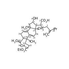 C=C(CCC(C(=O)O)C1C(O)CC2(C)C3=CCC(C(=C)C)C(C)(CCC(=O)OCC)C3=CCC12C)C(C)C